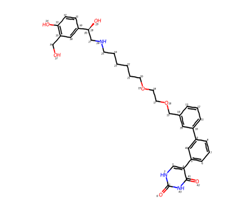 O=c1[nH]cc(-c2cccc(-c3cccc(COCCOCCCCCCNC[C@H](O)c4ccc(O)c(CO)c4)c3)c2)c(=O)[nH]1